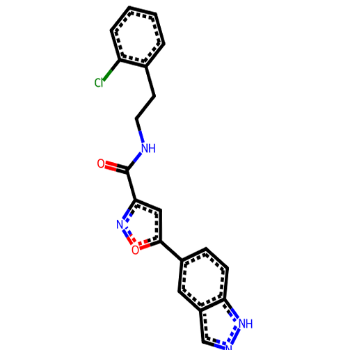 O=C(NCCc1ccccc1Cl)c1cc(-c2ccc3[nH]ncc3c2)on1